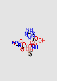 COC1C(O)[C@@H](COP(=O)(NCCc2cccs2)OC2C[C@H](n3cnc4c(N)ncnc43)O[C@@H]2CO)O[C@H]1n1ccc(=O)[nH]c1=O